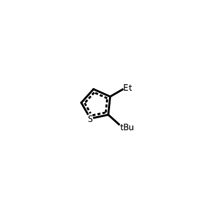 CCc1ccsc1C(C)(C)C